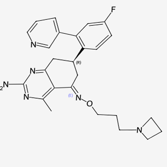 Cc1nc(N)nc2c1/C(=N/OCCCN1CCC1)C[C@H](c1ccc(F)cc1-c1cccnc1)C2